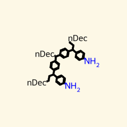 CCCCCCCCCCCCC(c1ccc(N)cc1)c1ccc(C(CCCCCCCCCC)c2ccc(C(CCCCCCCCCCCC)c3ccc(N)cc3)cc2)cc1